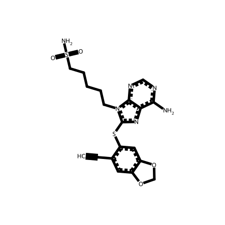 C#Cc1cc2c(cc1Sc1nc3c(N)ncnc3n1CCCCCS(N)(=O)=O)OCO2